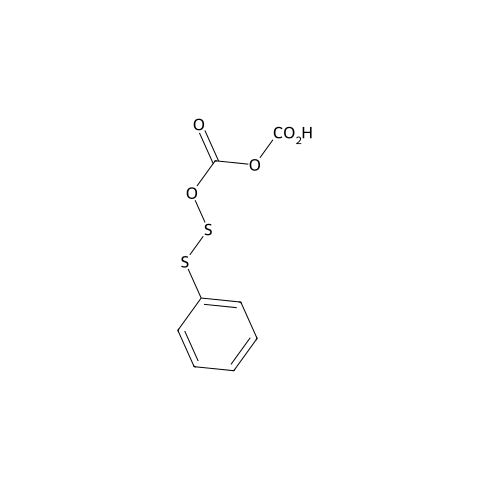 O=C(O)OC(=O)OSSc1ccccc1